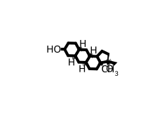 C[C@@]12CC[C@H]3C[C@H]4CC(O)CC[C@@H]4C[C@@H]3C1CC[C@]21CO1